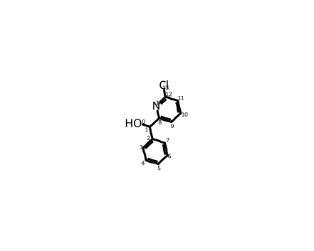 OC(c1ccccc1)c1cccc(Cl)n1